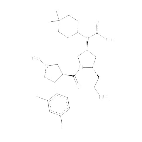 CC1(C)CCC(N(C(=O)C(C)(C)C)[C@H]2C[C@@H](CCN)N(C(=O)[C@@H]3CN(C(C)(C)C)C[C@H]3c3ccc(F)cc3F)C2)CC1